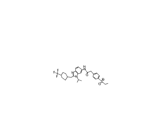 CCS(=O)(=O)c1ccc(CC(=O)Nc2ccc3nc(CC4CCC(C(F)(F)F)CC4)n(C(C)C)c3c2)cc1